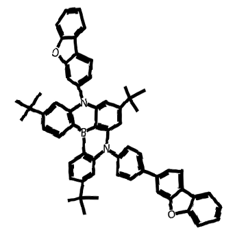 CC(C)(C)c1ccc2c(c1)N(c1ccc(-c3ccc4c(c3)oc3ccccc34)cc1)c1cc(C(C)(C)C)cc3c1B2c1ccc(C(C)(C)C)cc1N3c1ccc2c(c1)oc1ccccc12